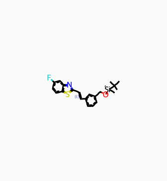 CC(C)(C)[Si](C)(C)OCc1cccc(/C=C/c2nc3cc(F)ccc3s2)c1